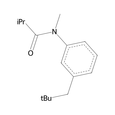 CC(C)C(=O)N(C)c1cccc(CC(C)(C)C)c1